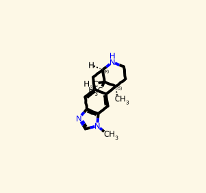 Cn1cnc2cc3c(cc21)[C@]1(C)CCN[C@H](C3)C1(C)C